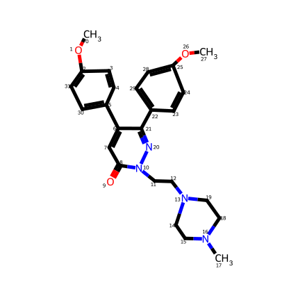 COc1ccc(-c2cc(=O)n(CCN3CCN(C)CC3)nc2-c2ccc(OC)cc2)cc1